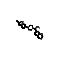 C[C@@H](c1ccc2cccnc2n1)N1CCN(c2ccc3cc(=O)[nH]n3c2)CC1